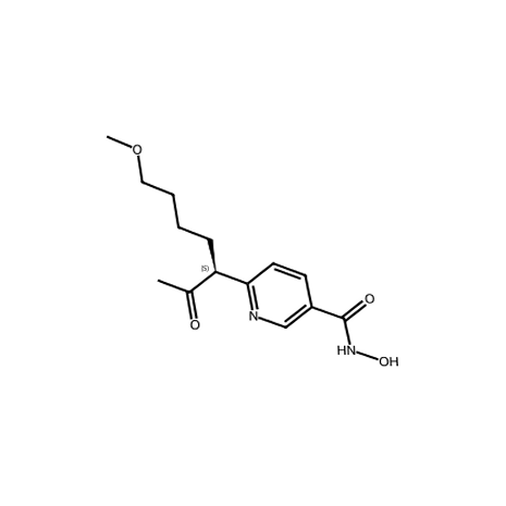 COCCCC[C@H](C(C)=O)c1ccc(C(=O)NO)cn1